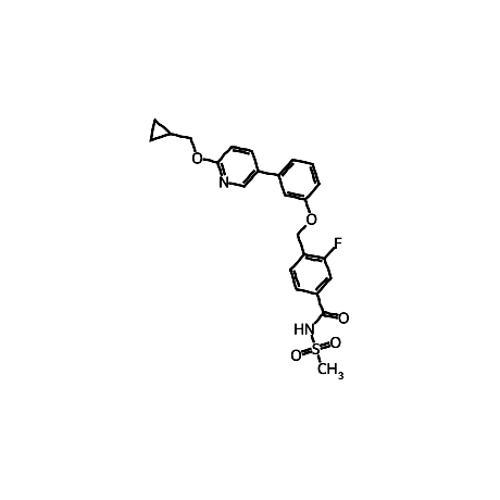 CS(=O)(=O)NC(=O)c1ccc(COc2cccc(-c3ccc(OCC4CC4)nc3)c2)c(F)c1